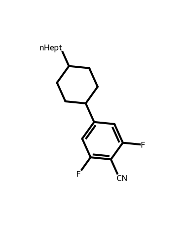 CCCCCCCC1CCC(c2cc(F)c(C#N)c(F)c2)CC1